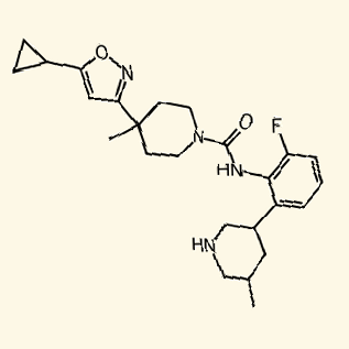 CC1CNCC(c2cccc(F)c2NC(=O)N2CCC(C)(c3cc(C4CC4)on3)CC2)C1